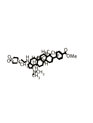 COC(=O)c1ccc(C2=CC[C@]3(C)[C@H]4CC[C@@H]5[C@H]6[C@H](N(C)C)CC[C@]6(NCC[N+]6(C)CCS(=O)(=O)CC6)CC[C@@]5(C)[C@]4(C)CC[C@H]3C2(C)C)cc1